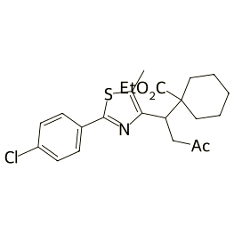 CCOC(=O)C1(C(CC(C)=O)c2nc(-c3ccc(Cl)cc3)sc2C)CCCCC1